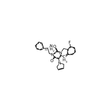 Cc1c(N2CC=CC2)c(=O)n(C[C@@H](N)c2ccccc2)c(=O)n1Cc1c(F)cccc1F